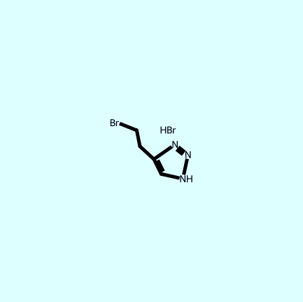 Br.BrCCc1c[nH]nn1